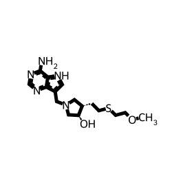 COCCSCC[C@H]1CN(Cc2c[nH]c3c(N)ncnc23)C[C@H]1O